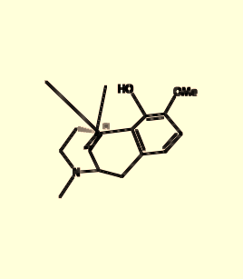 COc1ccc2c(c1O)[C@@]13CCN(C)C(C2)C1CC=C(C)C3C